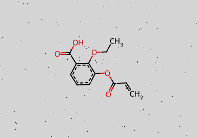 C=CC(=O)Oc1cccc(C(=O)O)c1OCC